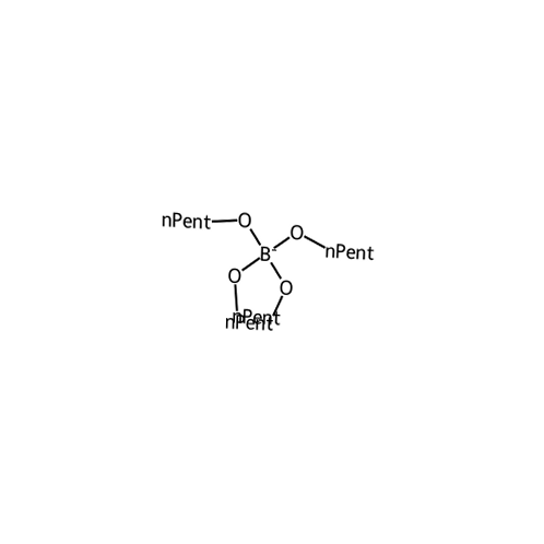 CCCCCO[B-](OCCCCC)(OCCCCC)OCCCCC